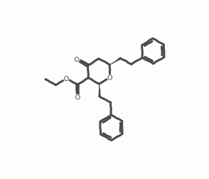 CCOC(=O)C1C(=O)C[C@@H](CCc2ccccc2)O[C@H]1CCc1ccccc1